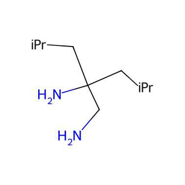 CC(C)CC(N)(CN)CC(C)C